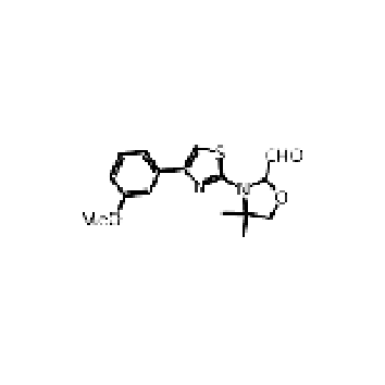 COc1cccc(-c2csc(N3C(C=O)OCC3(C)C)n2)c1